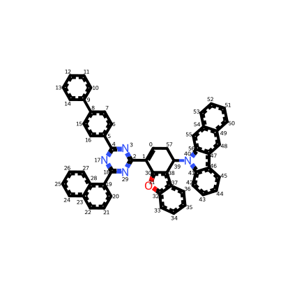 C1=C(c2nc(-c3ccc(-c4ccccc4)cc3)nc(-c3cccc4ccccc34)n2)c2oc3ccccc3c2C(n2c3ccccc3c3cc4ccccc4cc32)C1